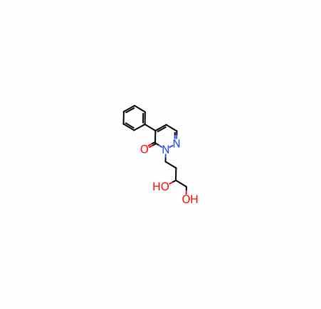 O=c1c(-c2ccccc2)ccnn1CCC(O)CO